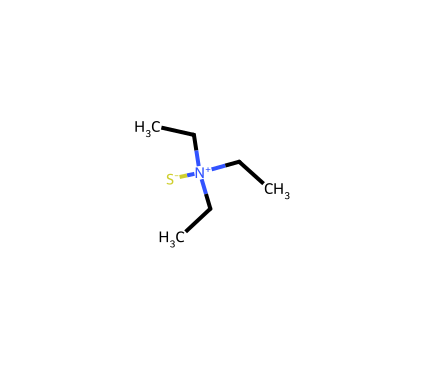 CC[N+]([S-])(CC)CC